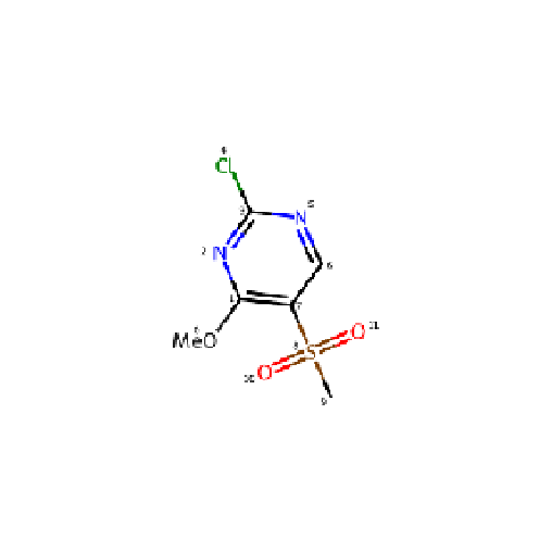 COc1nc(Cl)ncc1S(C)(=O)=O